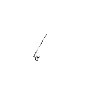 CCCCCCCCCCCCCCCCCCCCCC(C)NC=O